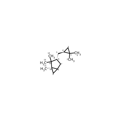 CC1(C)C[C@@H]1C[C@@H]1CC2C[C@@]2(C)C1(C)C